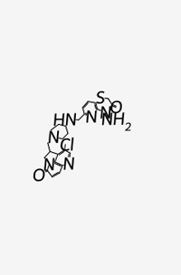 NN1C(=O)CSc2ccc(CNC3CCN(CC4Cn5c(=O)ccc6ncc(Cl)c4c65)CC3)nc21